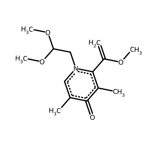 C=C(OC)c1c(C)c(=O)c(C)cn1CC(OC)OC